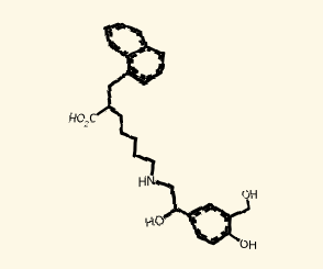 O=C(O)C(CCCCCNCC(O)c1ccc(O)c(CO)c1)Cc1cccc2ccccc12